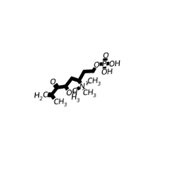 C=C(C)C(=O)C(O)CC(CCOP(=O)(O)O)[N+](C)(C)C